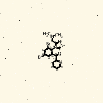 CN(C)Cc1nncn1-c1c(Br)cc(Br)cc1C(=O)c1ccccn1